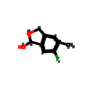 Cc1cc2c(cc1F)B(O)OC2